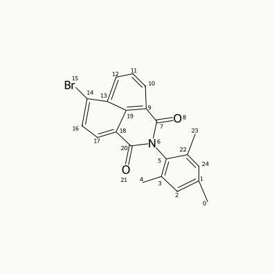 Cc1cc(C)c(N2C(=O)c3cccc4c(Br)ccc(c34)C2=O)c(C)c1